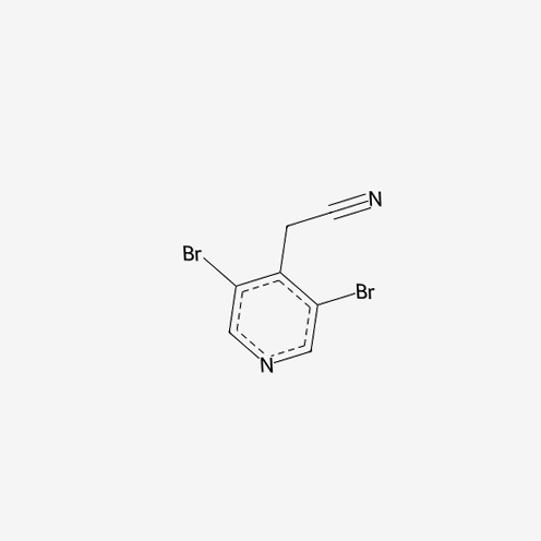 N#CCc1c(Br)cncc1Br